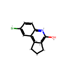 Oc1nc2ccc(Br)cc2c2c1CCC2